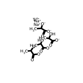 CC(O)C(=O)[O-].CC(O)C(=O)[O-].CC([O-])C(=O)[O-].CC([O-])C(=O)[O-].[Na+].[Na+].[Ti+4]